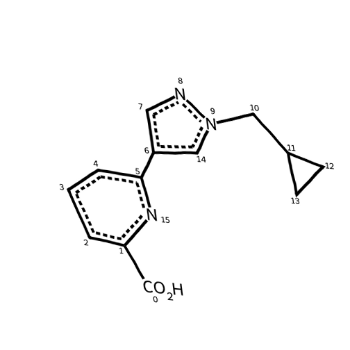 O=C(O)c1cccc(-c2cnn(CC3CC3)c2)n1